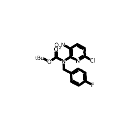 CC(C)(C)OC(=O)N(Cc1ccc(F)cc1)c1nc(Cl)ccc1[N+](=O)[O-]